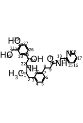 C[C@H](Cc1cccc(CCC(=O)NCc2ccccn2)c1)NC[C@H](O)c1ccc(O)c(CO)c1